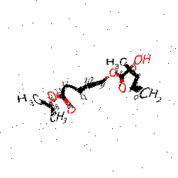 C=CCC(C)(O)C(=O)OCCCCC(=O)OC(C)C